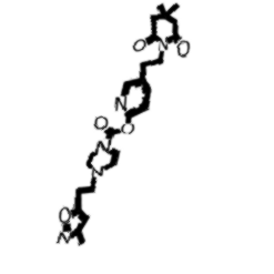 Cc1cc(CCN2CCN(C(=O)Oc3ccc(CCN4C(=O)CC(C)(C)CC4=O)cn3)CC2)on1